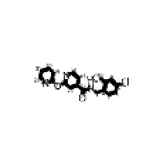 O=C(NCc1ccc(Cl)cc1Cl)c1ccnc(Oc2ccccn2)c1